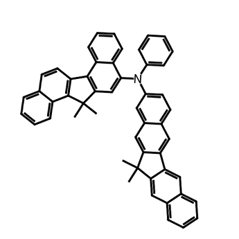 CC1(C)c2cc3ccccc3cc2-c2cc3ccc(N(c4ccccc4)c4cc5c(c6ccccc46)-c4ccc6ccccc6c4C5(C)C)cc3cc21